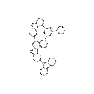 C1=C(c2ccccc2)NC(c2cccc3oc4ccc(-c5ccc6c7c(oc6c5)CCC(n5c6ccccc6c6ccccc65)=C7)cc4c23)N=C1c1ccccc1